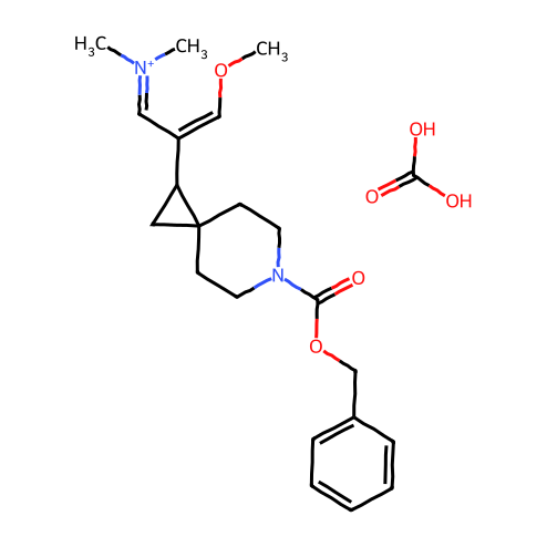 COC=C(C=[N+](C)C)C1CC12CCN(C(=O)OCc1ccccc1)CC2.O=C(O)O